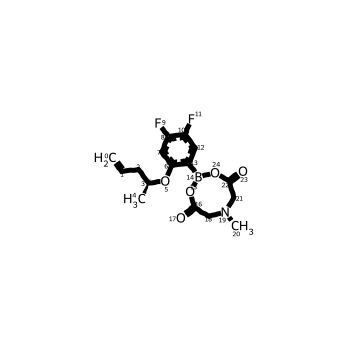 C=CC[C@H](C)Oc1cc(F)c(F)cc1B1OC(=O)CN(C)CC(=O)O1